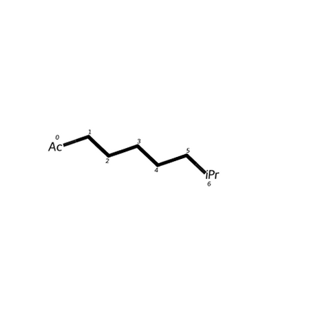 CC(=O)CCCCCC(C)C